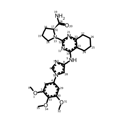 COc1cc(-n2cnc(Nc3nc(N4CCC[C@H]4C(N)=O)nc4c3CCCC4)c2)cc(OC)c1OC